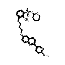 Cc1c(OCCCOc2ccc3nc(-c4ccc(N)nc4)ccc3c2)cccc1S(=O)(=O)OC1CCCCO1